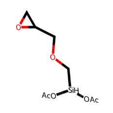 CC(=O)O[SiH](COCC1CO1)OC(C)=O